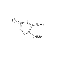 CNc1ccc(C(F)(F)F)cc1NC